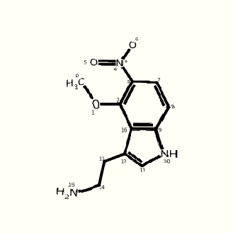 COc1c([N+](=O)[O-])ccc2[nH]cc(CCN)c12